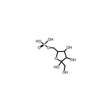 O=P(O)(O)OCC1OC(O)(CO)C(O)C1O